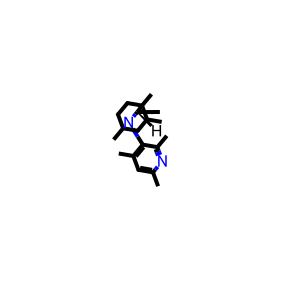 Cc1cc(C)c(N2[C@@H](C)C3(C)CCC2(C)CC3C)c(C)n1